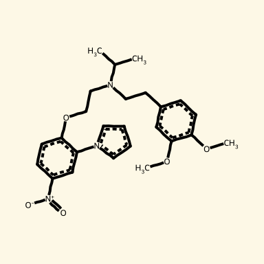 COc1ccc(CCN(CCOc2ccc([N+](=O)[O-])cc2-n2cccc2)C(C)C)cc1OC